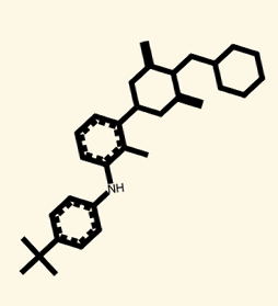 C=C1CC(c2cccc(Nc3ccc(C(C)(C)C)cc3)c2C)CC(=C)C1CC1CCCCC1